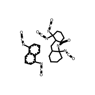 O=C=NC1(N=C=O)CCCCC1CC1CCCCC1(N=C=O)N=C=O.O=C=Nc1cccc2c(N=C=O)cccc12